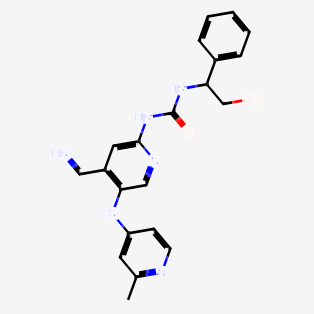 Cc1cc(Nc2cnc(NC(=O)NC(CO)c3ccccc3)cc2C=N)ccn1